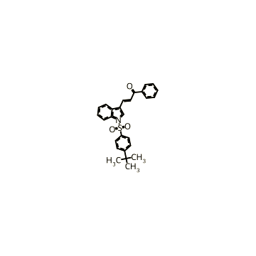 CC(C)(C)c1ccc(S(=O)(=O)n2cc(/C=C/C(=O)c3ccccc3)c3ccccc32)cc1